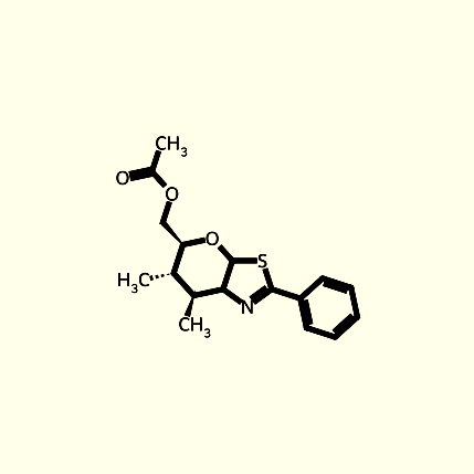 CC(=O)OC[C@H]1OC2SC(c3ccccc3)=NC2[C@@H](C)[C@@H]1C